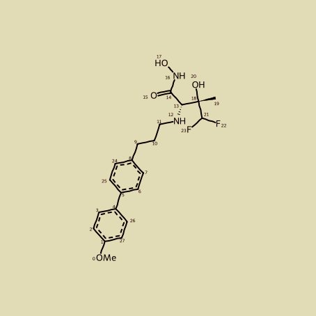 COc1ccc(-c2ccc(CCCN[C@H](C(=O)NO)[C@](C)(O)C(F)F)cc2)cc1